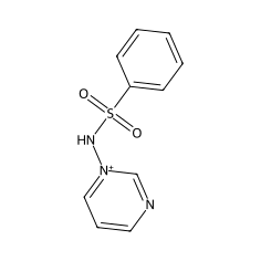 O=S(=O)(N[n+]1cccnc1)c1ccccc1